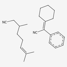 CC(C)=CCCC(C)CC#N.N#CC(=C1CCCCC1)c1ccccc1